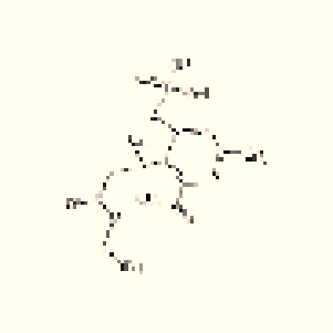 Cc1cc(C)c(C(C)(C)CC(=O)OCC(C)(C)C)c(OP(=O)(O)O)c1